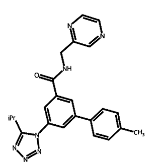 Cc1ccc(-c2cc(C(=O)NCc3cnccn3)cc(-n3nnnc3C(C)C)c2)cc1